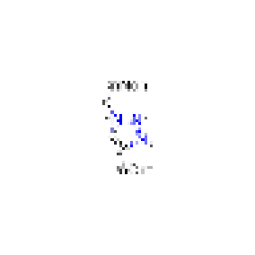 CCCCCCCCCCn1cc(CCCCCCCC)nn1